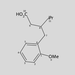 COc1ccccc1CC(CC(=O)O)C(C)C